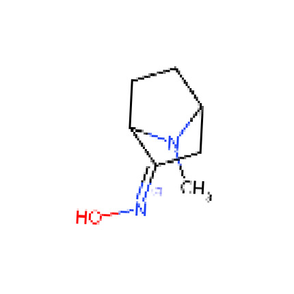 CN1C2CCC1/C(=N\O)C2